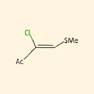 CSC=C(Cl)C(C)=O